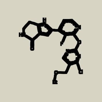 CCOCc1cnc(Oc2nccc(-c3cc4c([nH]3)CCNC4=O)c2F)nc1Cl